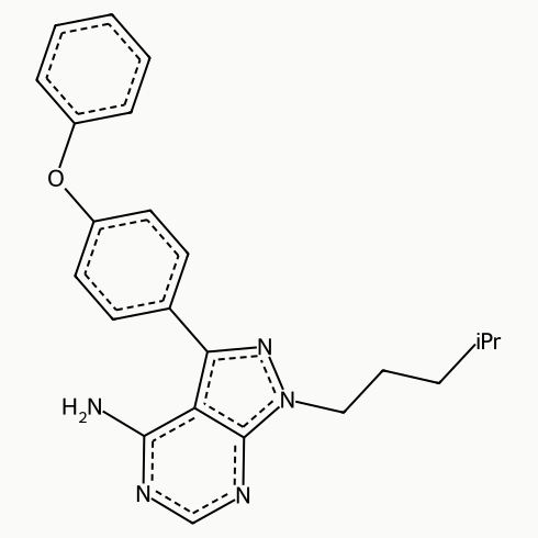 CC(C)CCCn1nc(-c2ccc(Oc3ccccc3)cc2)c2c(N)ncnc21